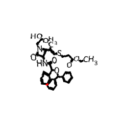 CCOC(=O)CCSC=C(C)C1C(NC(=O)C(OC(c2ccccc2)c2ccccc2)c2ccccc2)C(=O)N1CC(=O)O